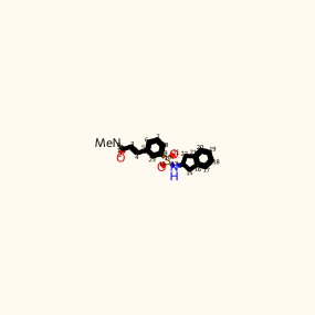 CNC(=O)/C=C/c1cccc(S(=O)(=O)NC2Cc3ccccc3C2)c1